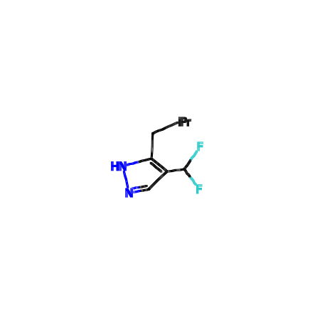 CC(C)Cc1[nH]ncc1C(F)F